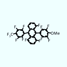 COc1c(F)c(F)c(-c2c3c(F)cccc3c(-c3c(F)c(F)c(C(F)(F)F)c(F)c3F)c3c(F)ccc(F)c23)c(F)c1F